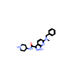 CN(Cc1ccccc1)c1ccc2c(C(=O)NC3CCNCC3)n[nH]c2n1